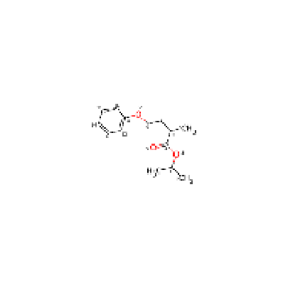 CC(C)OC(=O)C(C)CCOc1ccccc1